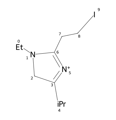 CCN1CC(C(C)C)=[N+]=C1CCI